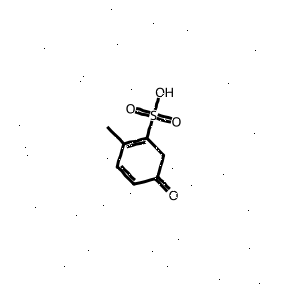 CC1=C(S(=O)(=O)O)CC(=O)C=C1